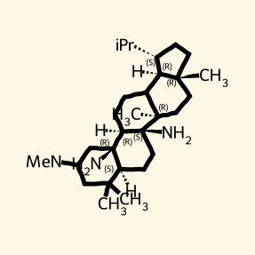 CNC1CC(C)(C)[C@@H]2CC[C@]3(N)[C@H](CCC4[C@H]5[C@H](C(C)C)CC[C@]5(C)CC[C@]43C)[C@@]2(N)C1